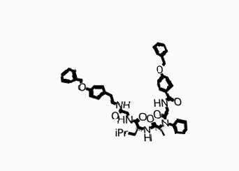 CC(C)C[C@H](NC(=O)[C@H](C)N(C(=O)CNC(=O)c1ccc(OCc2ccccc2)cc1)c1ccccc1)C(=O)NCC(=O)NCCc1ccc(OCc2ccccc2)cc1